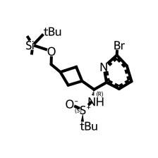 CC(C)(C)[S@@+]([O-])N[C@@H](c1cccc(Br)n1)C1CC(CO[Si](C)(C)C(C)(C)C)C1